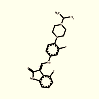 CC(C)N1CCN(c2ccc(N/C=C3/C(=O)Nc4cccc(F)c43)cc2F)CC1